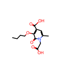 CCCCOc1c(C(=O)O)cc(C)n(CC(=O)O)c1=O